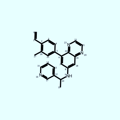 C=Cc1ccc(-c2cc(NC(C)c3cccnc3)cc3nccnc23)cc1C